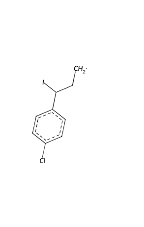 [CH2]CC(I)c1ccc(Cl)cc1